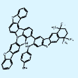 CC(C)(C)c1ccc(Nc2cc3sc4cc5c(cc4c3cc2-c2ccc3c4c6c(ccc4n4c3c2Bc2cc3c(cc2-4)oc2ccccc23)oc2ccccc26)C(C)(C)CCC5(C)C)cc1